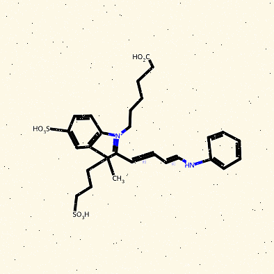 CC1(CCCS(=O)(=O)O)C(/C=C/C=C/Nc2ccccc2)=[N+](CCCCCC(=O)O)c2ccc(S(=O)(=O)O)cc21